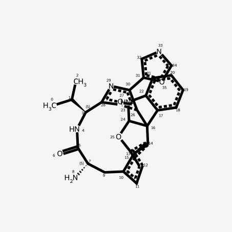 CC(C)[C@@H]1NC(=O)[C@@H](N)Cc2ccc3c(c2)C2(c4ccccc4NC2O3)c2oc1nc2-c1cnco1